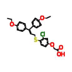 CCOc1ccc(C(=CCSc2ccc(OCC(=O)O)cc2Cl)c2ccc(OCC)cc2)cc1